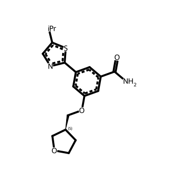 CC(C)c1cnc(-c2cc(OC[C@H]3CCOC3)cc(C(N)=O)c2)s1